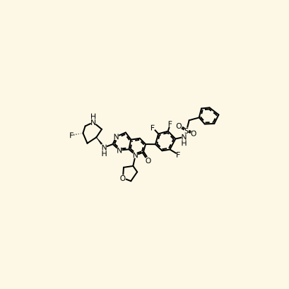 O=c1c(-c2cc(F)c(NS(=O)(=O)Cc3ccccc3)c(F)c2F)cc2cnc(N[C@@H]3CNC[C@@H](F)C3)nc2n1C1CCOC1